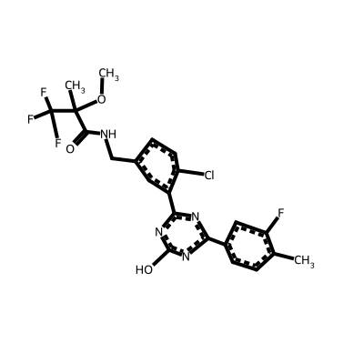 COC(C)(C(=O)NCc1ccc(Cl)c(-c2nc(O)nc(-c3ccc(C)c(F)c3)n2)c1)C(F)(F)F